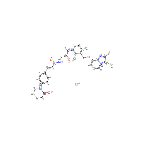 Cc1nc2c(OCc3c(Cl)ccc(N(C)C(=O)CNC(=O)C=Cc4ccc(N5CCCCC5=O)cc4)c3Cl)cccn2c1Br.Cl